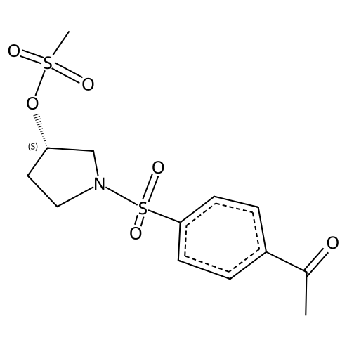 CC(=O)c1ccc(S(=O)(=O)N2CC[C@H](OS(C)(=O)=O)C2)cc1